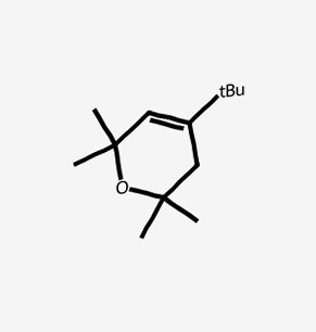 CC1(C)C=C(C(C)(C)C)CC(C)(C)O1